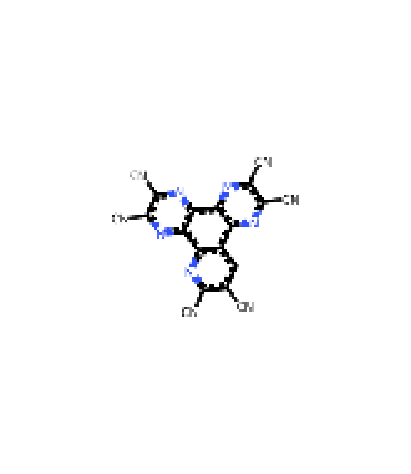 [C-]#[N+]c1nc2c(cc1C#N)c1nc(C#N)c(C#N)nc1c1nc([N+]#[C-])c([N+]#[C-])nc21